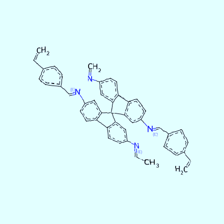 C=Cc1ccc(/C=N/c2ccc3c(c2)C2(c4cc(N=C)ccc4-3)c3cc(/N=C/C)ccc3-c3ccc(/N=C/c4ccc(C=C)cc4)cc32)cc1